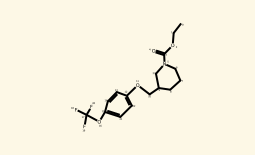 CCOC(=O)N1CCCC(COc2ccc(OC(F)(F)F)cc2)C1